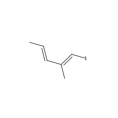 CC=CC(C)=CI